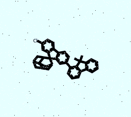 CC1(C)c2ccccc2-c2cccc(-c3ccc4c(c3)C3(c5cc(Cl)ccc5-4)C4CC5CC(C4)CC3C5)c21